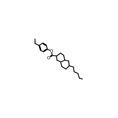 CCCCCC1CCC2CC(C(=O)Oc3ccc(CC)cc3)CCC2C1